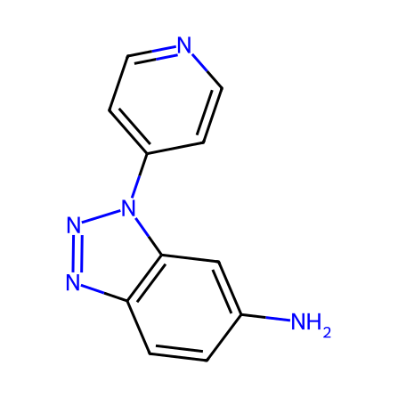 Nc1ccc2nnn(-c3ccncc3)c2c1